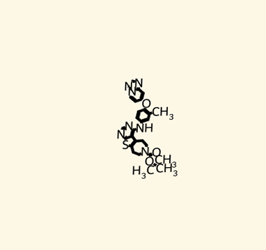 Cc1cc(Nc2ncnc3sc4c(c23)CCN(C(=O)OC(C)(C)C)CC4)ccc1Oc1ccn2ncnc2c1